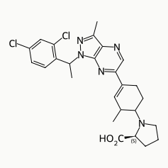 Cc1nn(C(C)c2ccc(Cl)cc2Cl)c2nc(C3=CC(C)C(N4CCC[C@H]4C(=O)O)CC3)cnc12